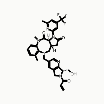 C=CC(=O)N1Cc2cc(CN3C[C@H]4CC(=O)N(c5cc(C(F)(F)F)cc(C)n5)[C@@H]4C(=O)N(C)c4cccc(C)c43)cnc2[C@@H]1CO